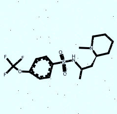 CC(C[C@@H]1CCCCN1C)NS(=O)(=O)c1ccc(OC(F)(F)F)cc1